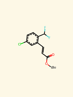 CC(C)(C)OC(=O)/C=C/c1cc(Cl)ccc1C(F)F